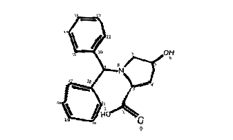 O=C(O)[C@@H]1CC(O)CN1C(c1ccccc1)c1ccccc1